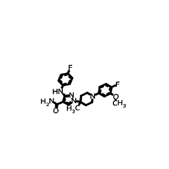 COc1cc(N2CCC(C)(n3cc(C(N)=O)c(Nc4ccc(F)cc4)n3)CC2)ccc1F